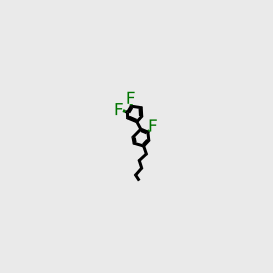 CCCCCc1ccc(-c2ccc(F)c(F)c2)c(F)c1